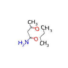 CC(=O)CC(N)=O.CCCC